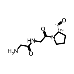 NCC(=O)NCC(=O)N1CCC[C@H]1[C]=O